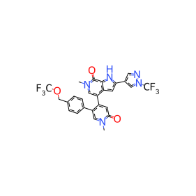 Cn1cc(-c2ccc(COC(F)(F)F)cc2)c(-c2cn(C)c(=O)c3[nH]c(-c4cnn(C(F)(F)F)c4)cc23)cc1=O